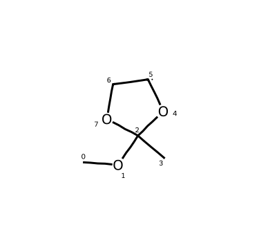 COC1(C)O[CH]CO1